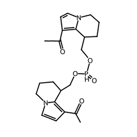 CC(=O)c1ccn2c1C(CO[PH](=O)OCC1CCCn3ccc(C(C)=O)c31)CCC2